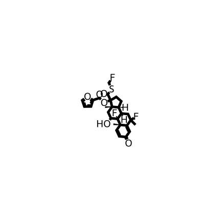 CC1(F)C[C@H]2[C@@H]3CCC(OC(=O)c4ccco4)(C(=O)SCF)[C@@]3(C)CC(O)[C@]2(F)[C@@]2(C)C=CC(=O)C=C12